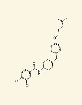 CN(C)CCCOc1ccc(CN2CCC(NC(=O)c3ccc(Cl)c(Cl)c3)CC2)cc1